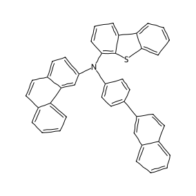 c1ccc2cc(-c3ccc(N(c4ccc5ccc6ccccc6c5c4)c4cccc5c4sc4ccccc45)cc3)ccc2c1